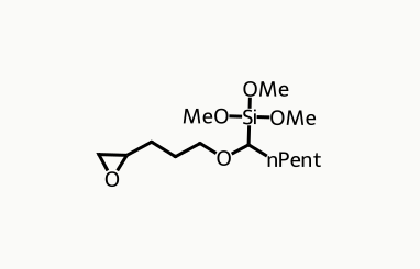 CCCCCC(OCCCC1CO1)[Si](OC)(OC)OC